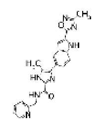 Cc1noc(-c2cc3cc(-c4nc(C(=O)NCc5ccccn5)[nH]c4C)ccc3[nH]2)n1